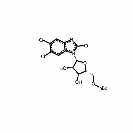 CCCCOC[C@H]1O[C@@H](n2c(Cl)nc3cc(Cl)c(Cl)cc32)[C@H](O)[C@@H]1O